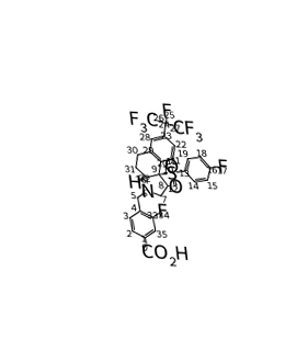 O=C(O)c1ccc(CN2CC[C@@]3(S(=O)(=O)c4ccc(F)cc4)c4ccc(C(F)(C(F)(F)F)C(F)(F)F)cc4CC[C@@H]23)c(F)c1